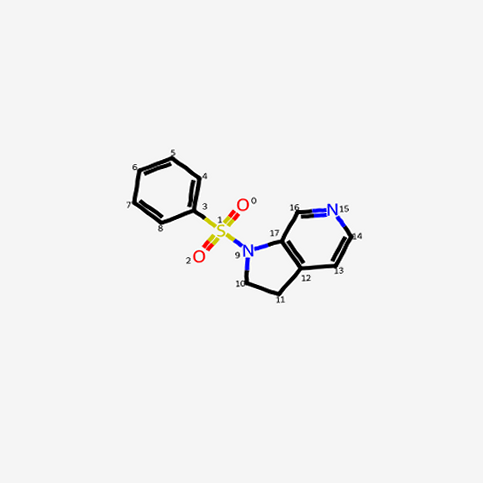 O=S(=O)(c1ccccc1)N1CCc2ccncc21